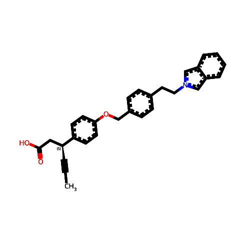 CC#C[C@@H](CC(=O)O)c1ccc(OCc2ccc(CCn3cc4ccccc4c3)cc2)cc1